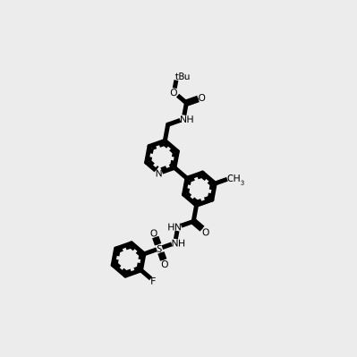 Cc1cc(C(=O)NNS(=O)(=O)c2ccccc2F)cc(-c2cc(CNC(=O)OC(C)(C)C)ccn2)c1